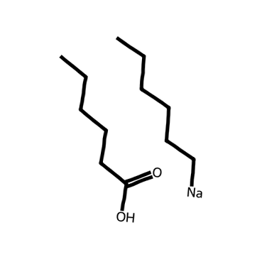 CCCCCC(=O)O.CCCCC[CH2][Na]